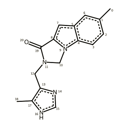 Cc1ccc2c(c1)cc1n2CN(Cc2nc[nH]c2C)C1=O